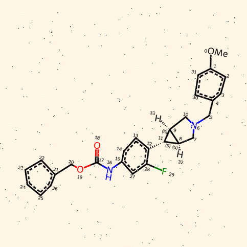 COc1ccc(CN2C[C@@H]3[C@H](C2)[C@H]3c2ccc(NC(=O)OCc3ccccc3)cc2F)cc1